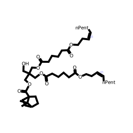 CCCCC/C=C\CCOC(=O)CCCCC(=O)OCC(CO)(COC(=O)CCCCC(=O)OCC/C=C\CCCCC)COC(=O)C12CCC(CC1)C2(C)C